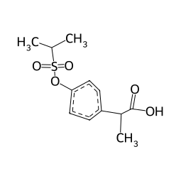 CC(C(=O)O)c1ccc(OS(=O)(=O)C(C)C)cc1